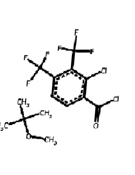 COC(C)(C)C.O=C(Cl)c1ccc(C(F)(F)F)c(C(F)(F)F)c1Cl